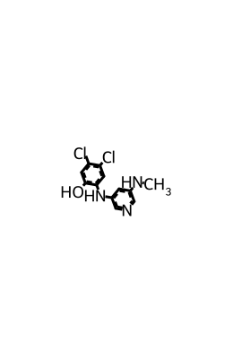 CNc1cncc(Nc2cc(Cl)c(Cl)cc2O)c1